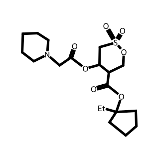 CCC1(OC(=O)C2COS(=O)(=O)CC2OC(=O)CN2CCCCC2)CCCC1